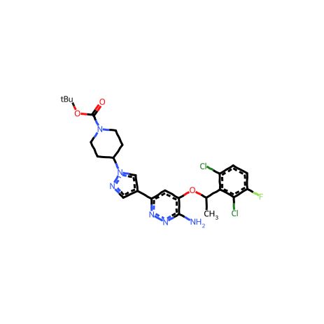 CC(Oc1cc(-c2cnn(C3CCN(C(=O)OC(C)(C)C)CC3)c2)nnc1N)c1c(Cl)ccc(F)c1Cl